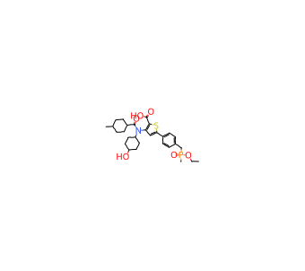 CCOP(C)(=O)Cc1ccc(-c2cc(N(C(=O)C3CCC(C)CC3)C3CCC(O)CC3)c(C(=O)O)s2)cc1